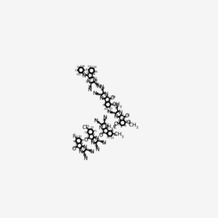 COc1ccc(OC)c2c1C(=O)c1nc(C#N)c(C#N)nc1-2.Cc1ccc2c(c1)-c1nc(C#N)c(C#N)nc1C2=O.Cc1cccc2c1C(=O)c1nc(C#N)c(C#N)nc1-2.N#Cc1nc2c(nc1C#N)-c1ccc(Cl)cc1C2=O.N#Cc1nc2c(nc1C#N)-c1ccc(F)cc1C2=O.N#Cc1nc2c(nc1C#N)-c1ccccc1C2=Nc1ccccc1